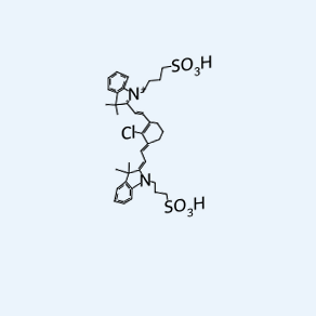 CC1(C)C(/C=C/C2=C(Cl)C(=C/C=C3/N(CCCS(=O)(=O)O)c4ccccc4C3(C)C)/CCC2)=[N+](CCCCS(=O)(=O)O)c2ccccc21